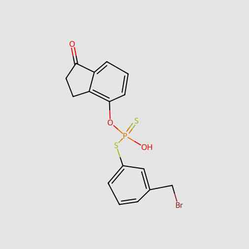 O=C1CCc2c(OP(O)(=S)Sc3cccc(CBr)c3)cccc21